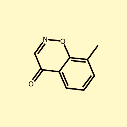 Cc1cccc2c(=O)cnoc12